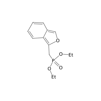 CCOP(=O)(Cc1occ2ccccc12)OCC